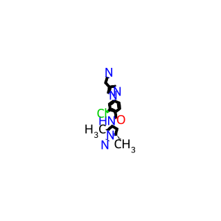 CC[C@H]1C[C@@H](NC(=O)c2ccc(-n3cc(CC#N)cn3)cc2Cl)[C@@H](C)N1C#N